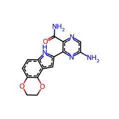 NC(=O)c1ncc(N)nc1-c1cc2c3c(ccc2[nH]1)OCCO3